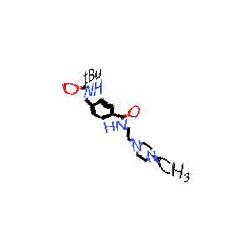 CN1CCN(CCNC(=O)c2ccc(CNC(=O)C(C)(C)C)cc2)CC1